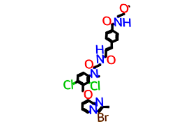 COCCNC(=O)c1ccc(/C=C/C(=O)NCC(=O)N(C)c2ccc(Cl)c(COc3cccn4c(Br)c(C)nc34)c2Cl)cc1